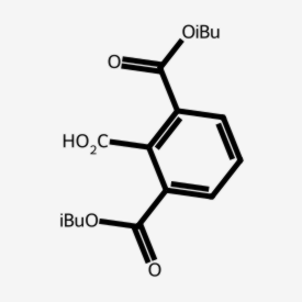 CC(C)COC(=O)c1cccc(C(=O)OCC(C)C)c1C(=O)O